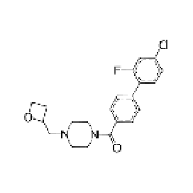 O=C(c1ccc(-c2ccc(Cl)cc2F)cc1)N1CCN(CC2CCO2)CC1